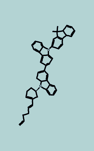 C=CCC/C=C/C1=CCC[C@@H](N2c3ccccc3C3=CC(c4ccc5c(c4)c4ccccc4n5-c4ccc5c(c4)C(C)(C)C4C=CC=CC54)=CCC32)C1